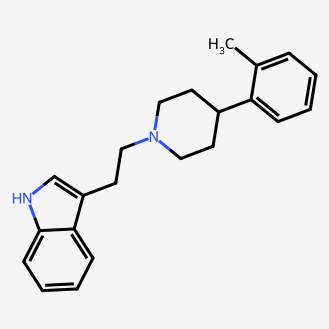 Cc1ccccc1C1CCN(CCc2c[nH]c3ccccc23)CC1